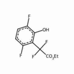 CCOC(=O)C(F)(F)c1c(F)ccc(F)c1O